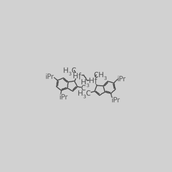 CC1=Cc2c(C(C)C)cc(C(C)C)cc2[CH]1[Hf]([CH3])[CH2][CH2][Hf]([CH3])[CH]1C(C)=Cc2c(C(C)C)cc(C(C)C)cc21